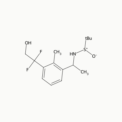 Cc1c(C(C)N[S+]([O-])C(C)(C)C)cccc1C(F)(F)CO